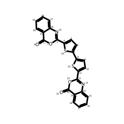 O=c1oc(-c2ccc(-c3ccc(-c4nc5ccccc5c(=O)o4)s3)s2)nc2ccccc12